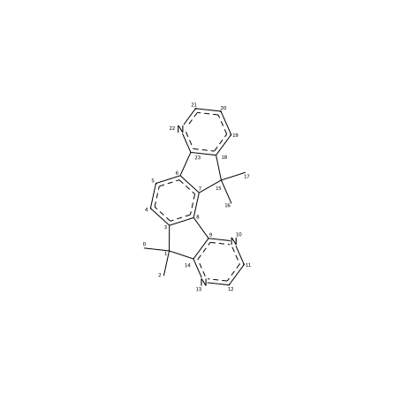 CC1(C)c2ccc3c(c2-c2nccnc21)C(C)(C)c1cccnc1-3